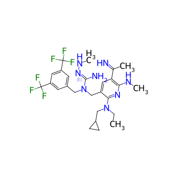 CCN(CC1CC1)c1nc(NC)c(C(C)=N)cc1CN(Cc1cc(C(F)(F)F)cc(C(F)(F)F)c1)/C(N)=N/NC